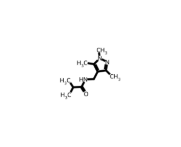 Cc1nn(C)c(C)c1CNC(=O)C(C)C